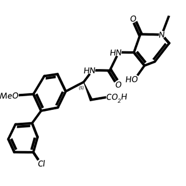 COc1ccc([C@H](CC(=O)O)NC(=O)Nc2c(O)ccn(C)c2=O)cc1-c1cccc(Cl)c1